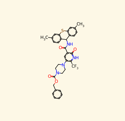 Cc1ccc2c(c1)Sc1cc(C)ccc1C2NC(=O)c1cc(N2CCN(C(=O)OCc3ccccc3)CC2)c(C(F)(F)F)[nH]c1=O